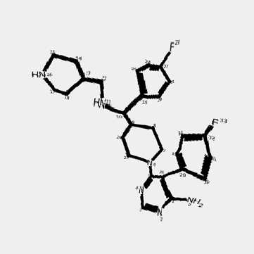 Nc1ncnc(N2CCC(C(NCC3CCNCC3)c3ccc(F)cc3)CC2)c1-c1ccc(F)cc1